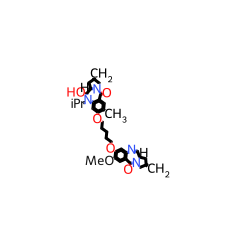 C=C1C[C@H]2C=Nc3cc(OCCCCCOc4cc5c(cc4C)C(=O)N4CC(=C)C[C@H]4[C@H](O)N5C(C)C)c(OC)cc3C(=O)N2C1